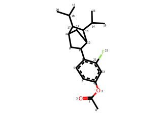 CC(=O)Oc1ccc(C2CC3CC2C(C(C)C)C3C(C)C)c(F)c1